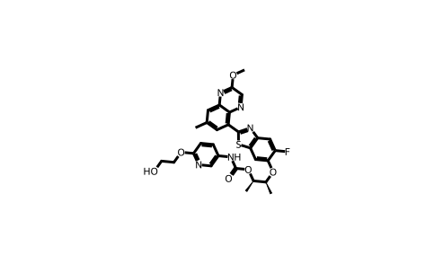 COc1cnc2c(-c3nc4cc(F)c(O[C@@H](C)[C@@H](C)OC(=O)Nc5ccc(OCCO)nc5)cc4s3)cc(C)cc2n1